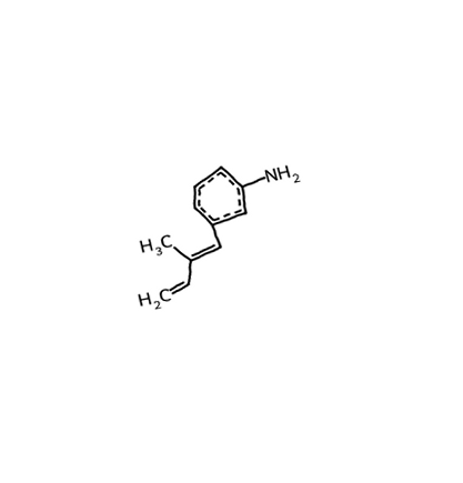 C=C/C(C)=C/c1cccc(N)c1